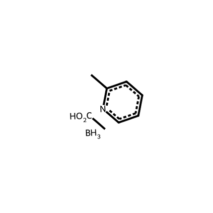 B.CC(=O)O.Cc1ccccn1